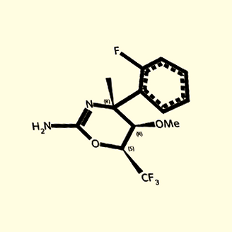 CO[C@H]1[C@@H](C(F)(F)F)OC(N)=N[C@]1(C)c1ccccc1F